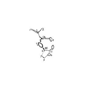 C=C(C)C(=O)O[C@@H]1CCOC1=O